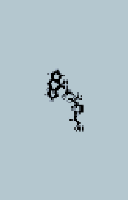 C[C@H](CO)n1ccc(S(=O)(=O)NC(=O)Nc2c3c(cc4c2CCC4)CCC3)n1